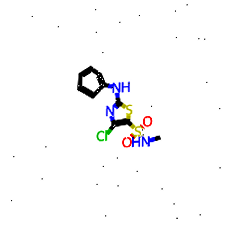 CNS(=O)(=O)c1sc(Nc2ccccc2)nc1Cl